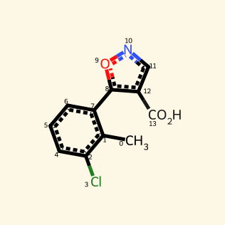 Cc1c(Cl)cccc1-c1oncc1C(=O)O